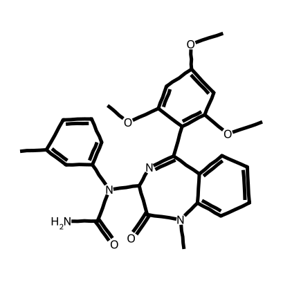 COc1cc(OC)c(C2=NC(N(C(N)=O)c3cccc(C)c3)C(=O)N(C)c3ccccc32)c(OC)c1